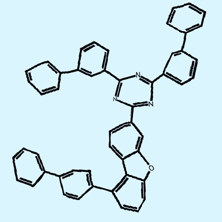 c1ccc(-c2ccc(-c3cccc4oc5cc(-c6nc(-c7cccc(-c8ccccc8)c7)nc(-c7cccc(-c8ccccc8)c7)n6)ccc5c34)cc2)cc1